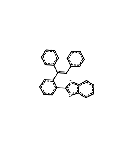 C(=C(c1ccccc1)c1ccccc1-c1nc2ccccc2o1)c1ccccc1